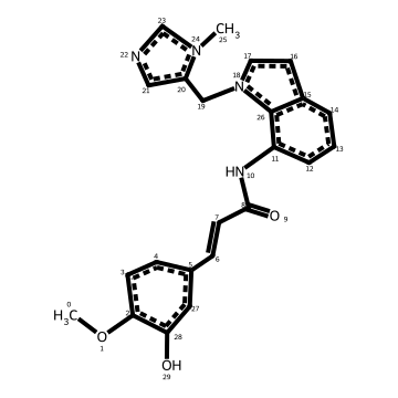 COc1ccc(C=CC(=O)Nc2cccc3ccn(Cc4cncn4C)c23)cc1O